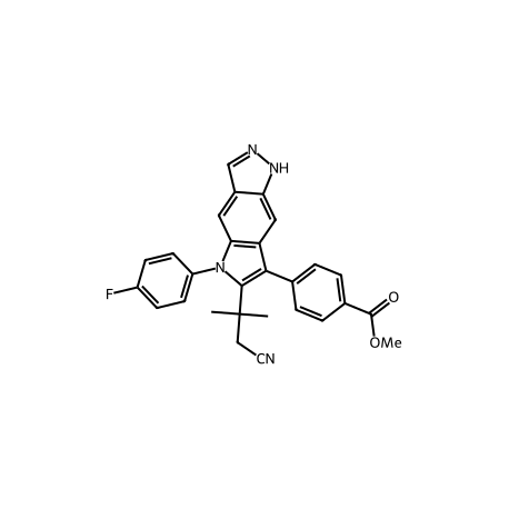 COC(=O)c1ccc(-c2c(C(C)(C)CC#N)n(-c3ccc(F)cc3)c3cc4cn[nH]c4cc23)cc1